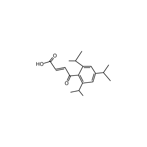 CC(C)c1cc(C(C)C)c(C(=O)C=CC(=O)O)c(C(C)C)c1